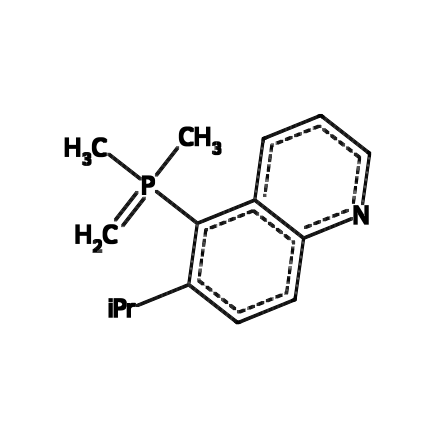 C=P(C)(C)c1c(C(C)C)ccc2ncccc12